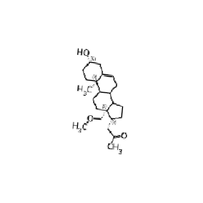 COC[C@]12CCC3C(CC=C4C[C@@H](O)CC[C@@]43C)C1CC[C@@H]2CC(C)=O